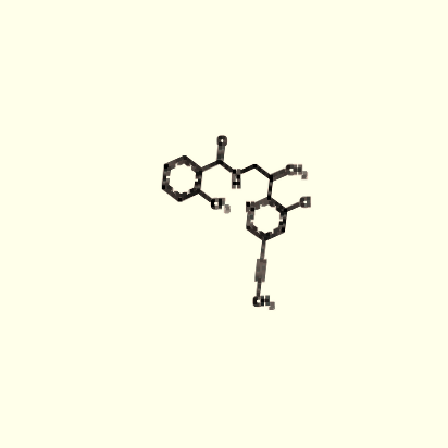 C=C(CNC(=O)c1ccccc1C(F)(F)F)c1ncc(C#CC)cc1Cl